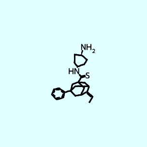 CC=C1C2CC3(C(=S)N[C@H]4CC[C@H](N)CC4)CC1CC(c1ccccc1)(C2)C3